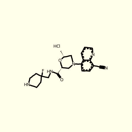 C[C@@H]1CN(c2ccc(C#N)c3ncccc23)C[C@H](C(=O)NCC2(F)CCNCC2)O1.Cl